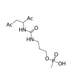 CC(=O)CC(NC(=O)NCCCOP(C)(=O)O)C(C)=O